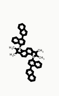 Cc1c(C)n(-c2ccc(-c3ccc4ccccc4c3)c3ccccc23)c2c1ccc1c2ccc2c(C)c(C)n(-c3ccc(-c4ccc5ccccc5c4)c4ccccc34)c21